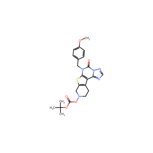 COc1ccc(Cn2c(=O)n3ncnc3c3c4c(sc32)CN(OC(=O)OC(C)(C)C)CC4)cc1